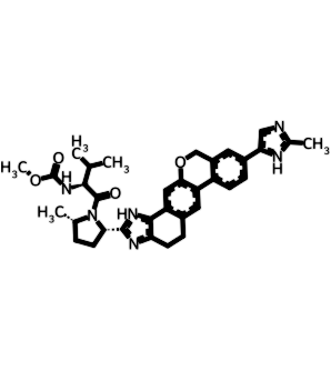 COC(=O)N[C@H](C(=O)N1[C@@H](C)CC[C@H]1c1nc2c([nH]1)-c1cc3c(cc1CC2)-c1ccc(-c2cnc(C)[nH]2)cc1CO3)C(C)C